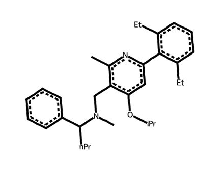 CCCC(c1ccccc1)N(C)Cc1c(OC(C)C)cc(-c2c(CC)cccc2CC)nc1C